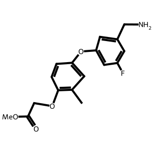 COC(=O)COc1ccc(Oc2cc(F)cc(CN)c2)cc1C